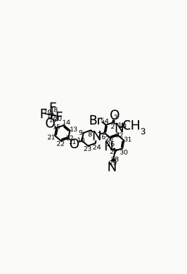 Cn1c(=O)c(Br)c(N2CCC(Oc3ccc(OC(F)(F)F)cc3)CC2)c2nc(C#N)ccc21